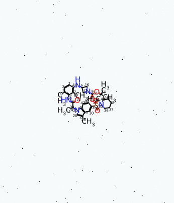 Cc1ccc(NC2CN(C(=O)OC(C)(C)C)C2)c(C)c1NC(=O)C(C)n1cc(C)c2cc(S(=O)(=O)N3CCCCC3)ccc21